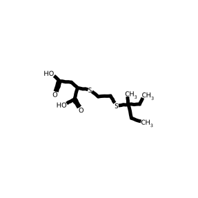 CCC(C)(CC)SCCSC(CC(=O)O)C(=O)O